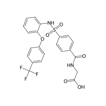 O=C(O)CNC(=O)c1ccc(S(=O)(=O)Nc2ccccc2Oc2ccc(C(F)(F)F)cc2)cc1